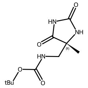 CC(C)(C)OC(=O)NC[C@@]1(C)NC(=O)NC1=O